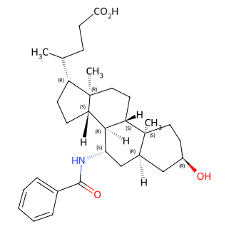 CC(CCC(=O)O)[C@H]1CC[C@H]2[C@@H]3[C@@H](NC(=O)c4ccccc4)C[C@@H]4C[C@H](O)CC[C@]4(C)[C@H]3CC[C@]12C